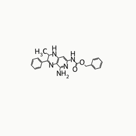 CC1Nc2cc(NC(=O)OCc3ccccc3)nc(N)c2N=C1c1ccccc1